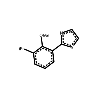 COc1c(-c2nccs2)cccc1C(C)C